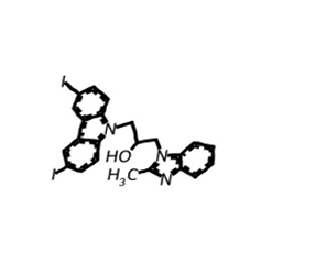 Cc1nc2ccccc2n1CC(O)Cn1c2ccc(I)cc2c2cc(I)ccc21